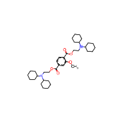 COc1cc(C(=O)OCCN(C2CCCCC2)C2CCCCC2)ccc1C(=O)OCCN(C1CCCCC1)C1CCCCC1